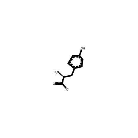 N[C@@H](Cc1ccc(O)cc1)C(=O)Cl